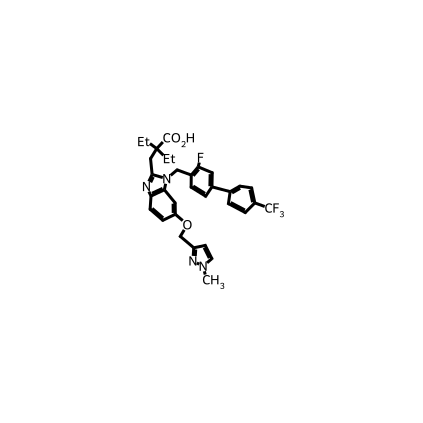 CCC(CC)(Cc1nc2ccc(OCc3ccn(C)n3)cc2n1Cc1ccc(-c2ccc(C(F)(F)F)cc2)cc1F)C(=O)O